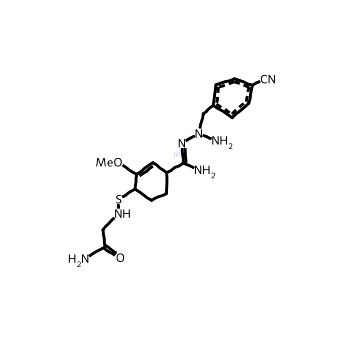 COC1=CC(/C(N)=N/N(N)Cc2ccc(C#N)cc2)CCC1SNCC(N)=O